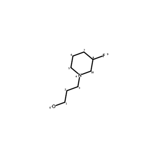 [O]CCCN1CCCC(F)C1